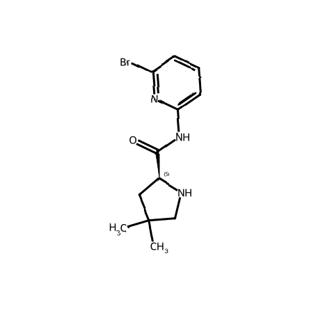 CC1(C)CN[C@H](C(=O)Nc2cccc(Br)n2)C1